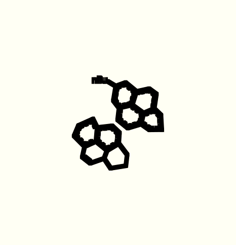 C1=CC2CCCc3ccc4cccc1c4c32.CCCCc1cc2ccc3cccc4ccc(c1)c2c34